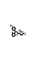 COc1ccc(C(=O)CC(c2ccc(Br)cc2)c2ccccc2C)[n+]([O-])n1